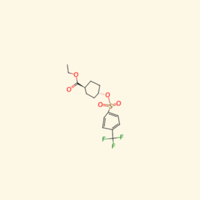 CCOC(=O)[C@H]1CC[C@H](OS(=O)(=O)c2ccc(C(F)(F)F)cc2)CC1